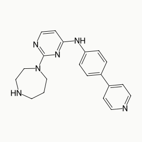 c1cc(-c2ccc(Nc3ccnc(N4CCCNCC4)n3)cc2)ccn1